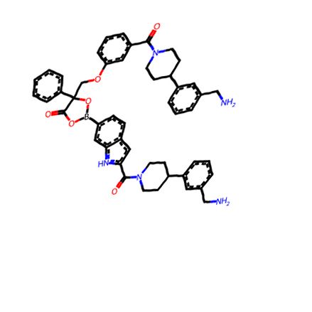 NCc1cccc(C2CCN(C(=O)c3cccc(OCC4(c5ccccc5)OB(c5ccc6cc(C(=O)N7CCC(c8cccc(CN)c8)CC7)[nH]c6c5)OC4=O)c3)CC2)c1